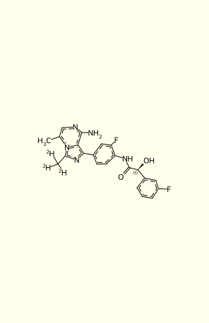 [2H]C([2H])([2H])c1nc(-c2ccc(NC(=O)[C@@H](O)c3cccc(F)c3)c(F)c2)c2c(N)ncc(C)n12